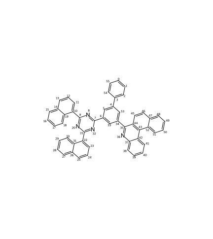 c1ccc(-c2cc(-c3nc(-c4cccc5ccccc45)nc(-c4cccc5ccccc45)n3)cc(-c3nc4ccccc4c4c3ccc3ccccc34)c2)cc1